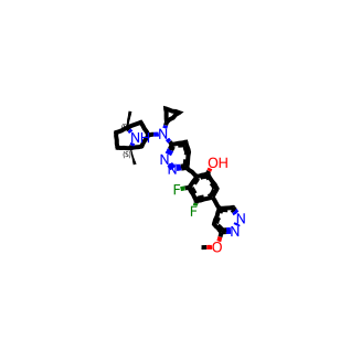 COc1cc(-c2cc(O)c(-c3ccc(N(C4CC4)C4C[C@]5(C)CC[C@](C)(C4)N5)nn3)c(F)c2F)cnn1